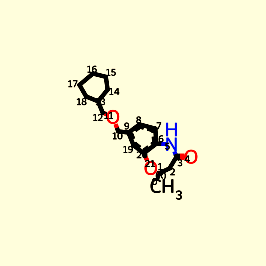 C[C@@H]1CC(=O)Nc2ccc(COCC3CCCCC3)cc2O1